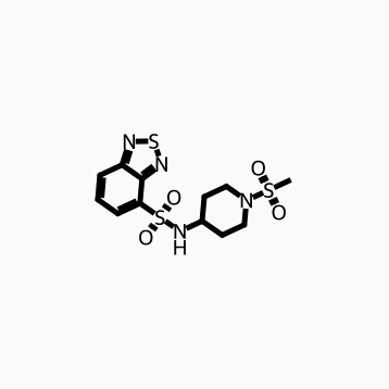 CS(=O)(=O)N1CCC(NS(=O)(=O)c2cccc3nsnc23)CC1